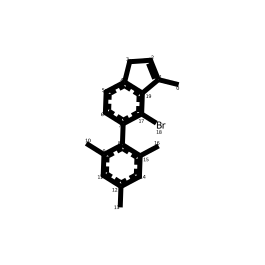 CC1=CCc2ccc(-c3c(C)cc(C)cc3C)c(Br)c21